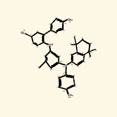 Cc1cc(NC2=C(c3ccc(C(C)(C)C)cc3)CC(C(C)(C)C)C=C2)cc(N(c2ccc(C(C)(C)C)cc2)c2ccc3c(c2)C(C)(C)CCC3(C)C)c1